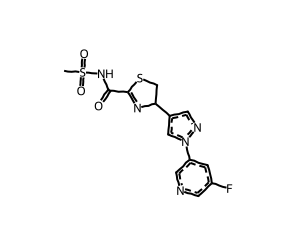 CS(=O)(=O)NC(=O)C1=NC(c2cnn(-c3cncc(F)c3)c2)CS1